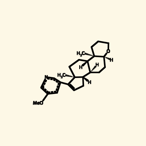 COc1cncc(C2=CC[C@H]3[C@@H]4CC[C@@H]5OCCC[C@]5(C)[C@H]4CC[C@]23C)c1